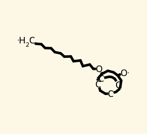 [CH2]CCCCCCCCCCCCCOC1CCC([O])CC2CCCCCC1CCCCC2